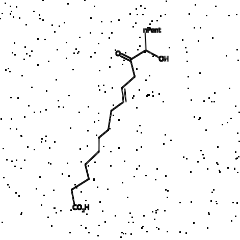 CCCCCC(O)C(=O)CC=CCCCCCCCC(=O)O